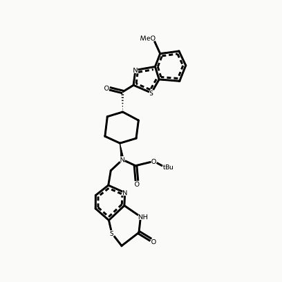 COc1cccc2sc(C(=O)[C@H]3CC[C@H](N(Cc4ccc5c(n4)NC(=O)CS5)C(=O)OC(C)(C)C)CC3)nc12